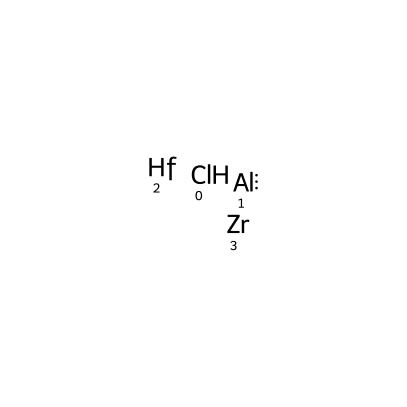 Cl.[Al].[Hf].[Zr]